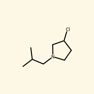 CC(C)CN1CCC(Cl)C1